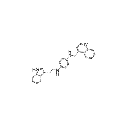 c1ccc2c(CNc3ccc(NCCc4c[nH]c5ccccc45)cc3)ccnc2c1